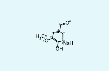 COc1cc(C=O)ccc1O.[NaH]